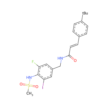 CC(C)(C)c1ccc(/C=C/C(=O)NCc2cc(F)c(NS(C)(=O)=O)c(I)c2)cc1